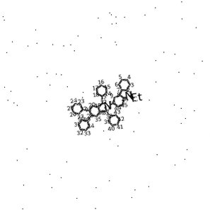 CCn1c2ccccc2c2cc(-n3c(-c4ccccc4)c4cc(-c5ccccc5)c(-c5ccccc5)cc4c3-c3ccccc3)ccc21